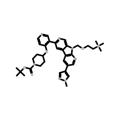 Cn1cc(-c2cnc3c(c2)c2cc(-c4cnccc4OC4CCN(C(=O)OC(C)(C)C)CC4)ncc2n3COCC[Si](C)(C)C)cn1